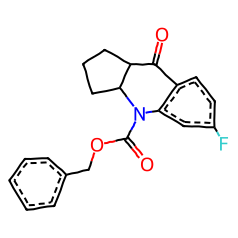 O=C1c2ccc(F)cc2N(C(=O)OCc2ccccc2)C2CCCC12